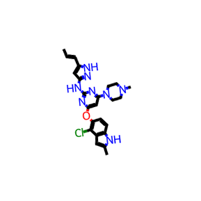 C/C=C/c1cc(Nc2nc(Oc3ccc4[nH]c(C)cc4c3Cl)cc(N3CCN(C)CC3)n2)n[nH]1